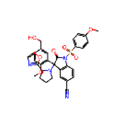 COc1ccc(S(=O)(=O)N2C(=O)C(c3cc(CO)ccc3OC)(N3CCCC3c3ncco3)c3cc(C#N)ccc32)cc1